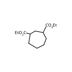 CCOC(=O)C1CCCCC(C(=O)OCC)C1